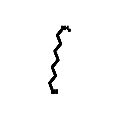 NCCCCCCCS